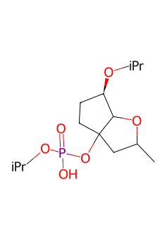 CC(C)O[C@@H]1CCC2(OP(=O)(O)OC(C)C)CC(C)OC12